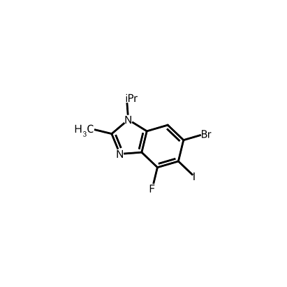 Cc1nc2c(F)c(I)c(Br)cc2n1C(C)C